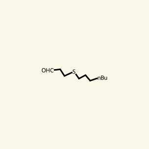 CCCCCCCSCCC=O